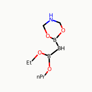 CCCOB(BB1OCNCO1)OCC